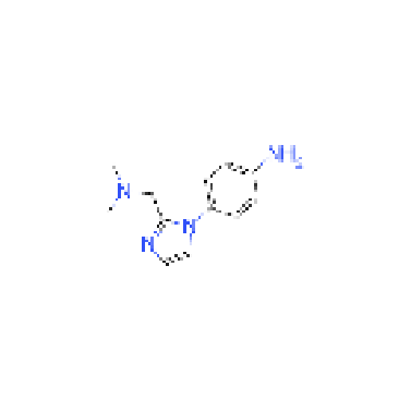 CN(C)Cc1nccn1-c1ccc(N)cc1